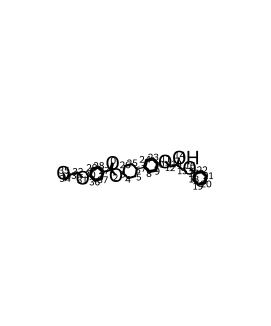 O=C(O[C@H]1CC[C@H](c2ccc(OCC(O)COc3ccccc3)cc2)CC1)c1ccc(OCC2CO2)cc1